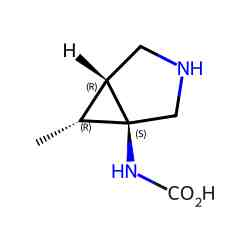 C[C@@H]1[C@@H]2CNC[C@]12NC(=O)O